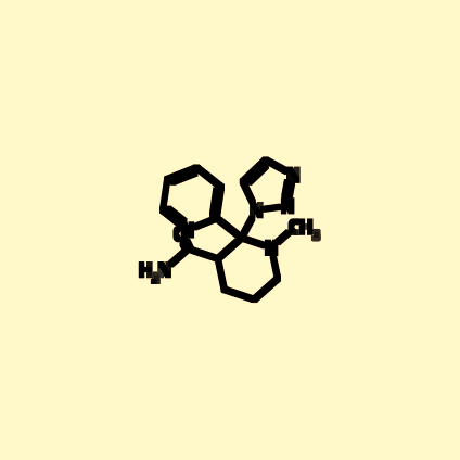 CN1CCCC(C(N)=O)C1(c1ccccn1)n1ccnn1